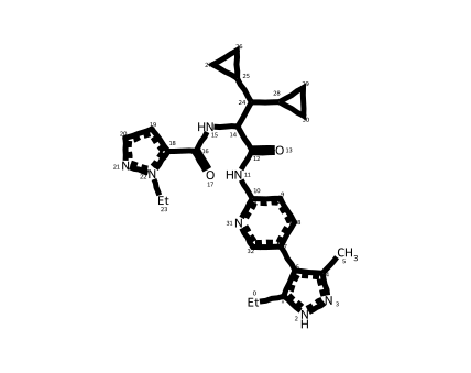 CCc1[nH]nc(C)c1-c1ccc(NC(=O)C(NC(=O)c2ccnn2CC)C(C2CC2)C2CC2)nc1